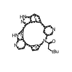 CC(C)(C)CC(=O)n1c2cncc(c2)c2ccc3[nH]nc(c4nc5c(nccc5c5ccc1s5)[nH]4)c3c2F